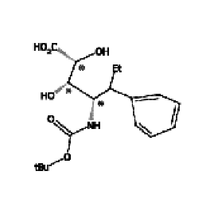 CCC(c1ccccc1)[C@H](NC(=O)OC(C)(C)C)[C@H](O)[C@@H](O)C(=O)O